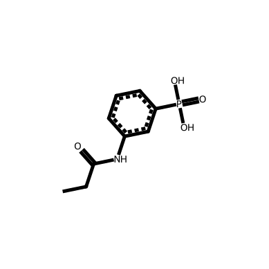 CCC(=O)Nc1cccc(P(=O)(O)O)c1